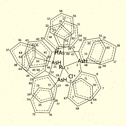 [Cl][Ru]([AsH](c1ccccc1)(c1ccccc1)c1ccccc1)([AsH](c1ccccc1)(c1ccccc1)c1ccccc1)([AsH](c1ccccc1)(c1ccccc1)c1ccccc1)[AsH](c1ccccc1)(c1ccccc1)c1ccccc1